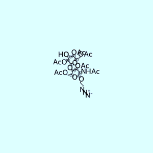 CC(=O)N[C@@H]1[C@@H](OCCN=[N+]=[N-])O[C@@H](COC(C)=O)[C@H](O[C@@H]2O[C@H](COC(C)=O)[C@H](OC(C)=O)[C@H](O)[C@H]2OC(C)=O)[C@H]1OC(C)=O